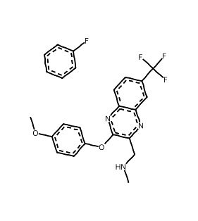 CNCc1nc2cc(C(F)(F)F)ccc2nc1Oc1ccc(OC)cc1.Fc1ccccc1